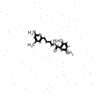 Cc1cc(N)nc(CCCCNC(=O)c2cc(N)ccc2O)c1